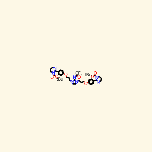 CC(C)(C)OC(=O)N1CCCN=C1c1ccc(OCCCn2ccn(CCCOc3ccc(C4=NCCCN4C(=O)OC(C)(C)C)cc3)c2=NC(=O)C(F)(F)F)cc1